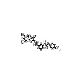 CCNC(=O)C(=C=c1sc(=C=CNc2cccc(NC(=O)CN3CCC(C(F)(F)F)CC3)c2)c(=O)n1CC)C#N